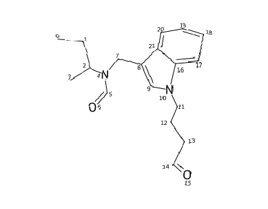 CCC(C)N(C=O)Cc1cn(CCCC=O)c2ccccc12